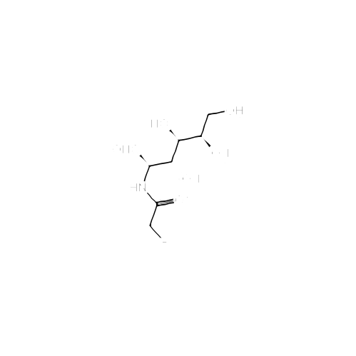 O=C[C@H](NC(=O)CF)[C@@H](O)[C@@H](O)[C@H](O)CO